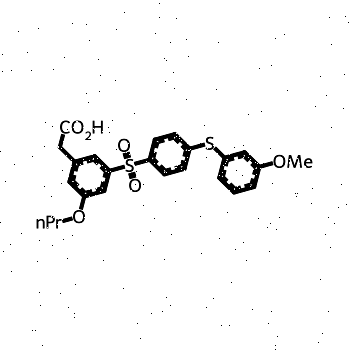 CCCOc1cc(CC(=O)O)cc(S(=O)(=O)c2ccc(Sc3cccc(OC)c3)cc2)c1